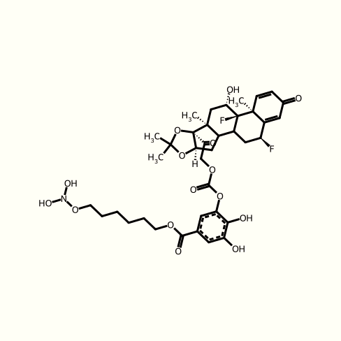 CC1(C)O[C@@H]2CC3C4C[C@H](F)C5=CC(=O)C=C[C@]5(C)[C@@]4(F)[C@@H](O)C[C@]3(C)[C@]2(C(=O)COC(=O)Oc2cc(C(=O)OCCCCCCON(O)O)cc(O)c2O)O1